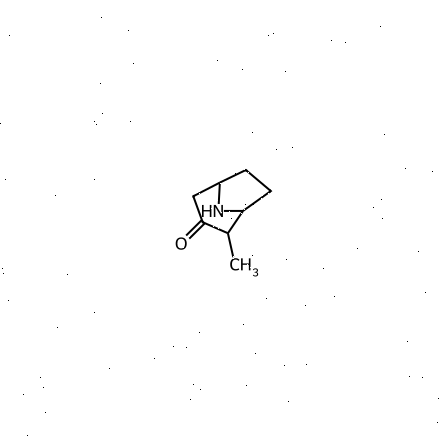 CC1C(=O)CC2CCC1N2